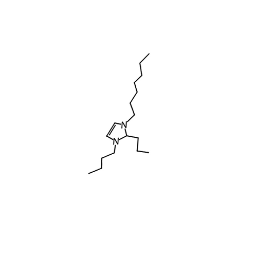 CCCCCCCN1C=CN(CCCC)C1CCC